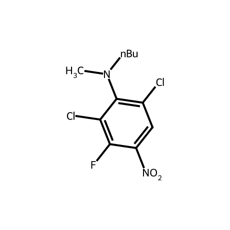 CCCCN(C)c1c(Cl)cc([N+](=O)[O-])c(F)c1Cl